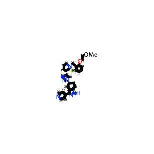 COCCOc1cccc(F)c1CN1CCC[C@@H](c2cn(C3C=c4c(-c5ccncc5)n[nH]c4=CC3)nn2)C1